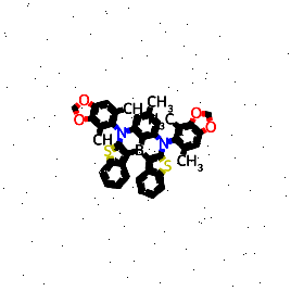 Cc1cc2c3c(c1)N(c1c(C)cc4c(c1C)OCO4)c1sc4ccccc4c1B3c1c(sc3ccccc13)N2c1c(C)cc2c(c1C)OCO2